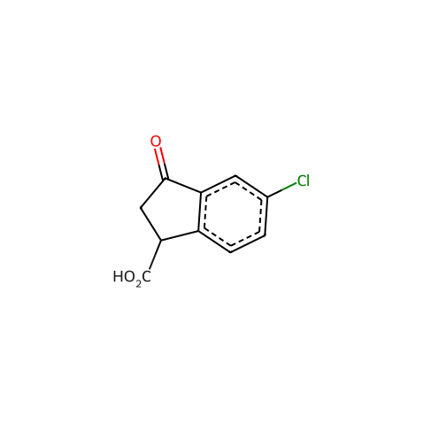 O=C1CC(C(=O)O)c2ccc(Cl)cc21